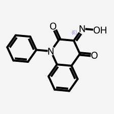 O=C1/C(=N\O)C(=O)N(c2ccccc2)c2ccccc21